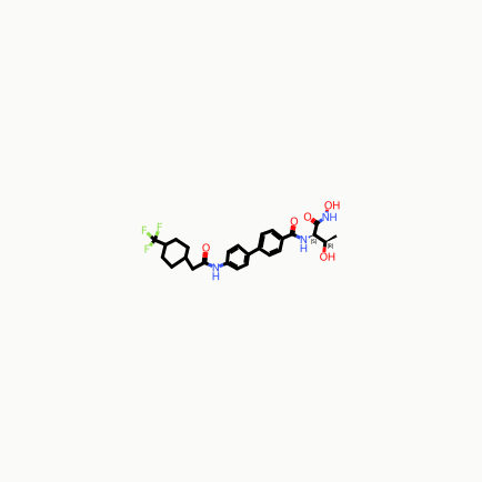 C[C@@H](O)[C@H](NC(=O)c1ccc(-c2ccc(NC(=O)CC3CCC(C(F)(F)F)CC3)cc2)cc1)C(=O)NO